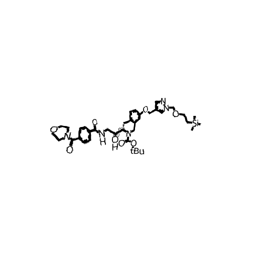 CC(C)(C)OC(=O)N1Cc2cc(OCc3cnn(COCC[Si](C)(C)C)c3)ccc2C[C@H]1[C@H](O)CNC(=O)c1ccc(C(=O)N2CCOCC2)cc1